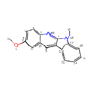 COc1ccc2nc3c(cc2c1)c1ccccc1n3C